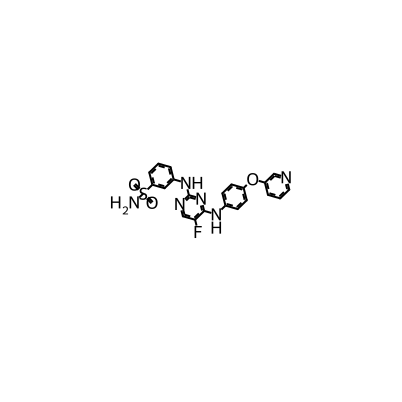 NS(=O)(=O)c1cccc(Nc2ncc(F)c(Nc3ccc(Oc4cccnc4)cc3)n2)c1